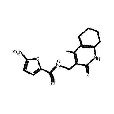 Cc1c2c([nH]c(=O)c1CNC(=O)c1ccc([N+](=O)[O-])o1)CCCC2